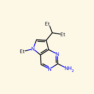 CCC(CC)c1cn(CC)c2cnc(N)nc12